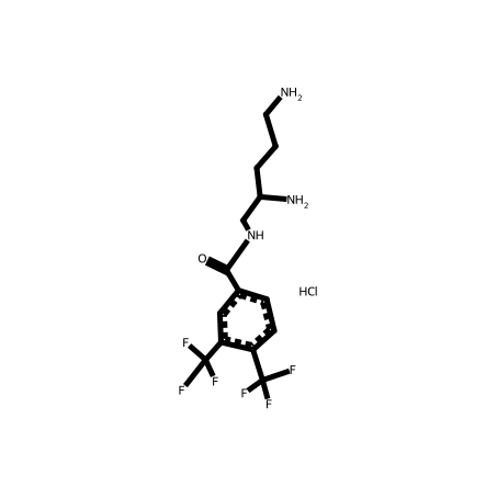 Cl.NCCCC(N)CNC(=O)c1ccc(C(F)(F)F)c(C(F)(F)F)c1